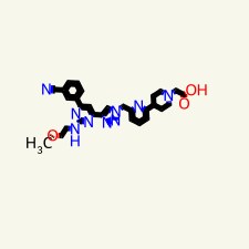 COCCNc1nc(-c2cccc(C#N)c2)cc(-c2cn(Cc3cccc(C4CCN(CC(=O)O)CC4)n3)nn2)n1